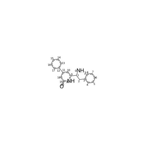 NC(Cc1ccccc1)c1cc(-c2ccccc2)cc(=O)[nH]1